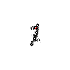 COC1(Cc2ccccc2-c2ccc(Cl)cc2)CCN(c2ccc(C(=O)NS(=O)(=O)c3ccc(NCCSc4ccccc4)c([N+](=O)[O-])c3)cc2)CC1